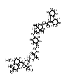 CN(CCNC[C@H](O[Si](C)(C)C(C)(C)C)c1ccc(O)c2[nH]c(=O)ccc12)C(=O)CCOc1ccc(CN2C[C@H]3C[C@H](OC(=O)Nc4ccccc4-c4ccccc4)C[C@H]3C2)cc1